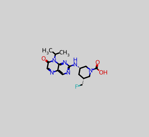 CC(C)n1c(=O)cnc2cnc(N[C@H]3C[C@@H](CF)CN(C(=O)O)C3)nc21